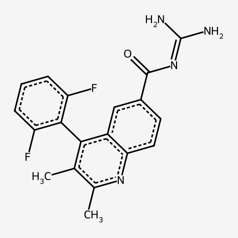 Cc1nc2ccc(C(=O)N=C(N)N)cc2c(-c2c(F)cccc2F)c1C